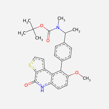 COc1ccc2[nH]c(=O)c3sccc3c2c1-c1ccc(C(C)N(C)C(=O)OC(C)(C)C)cc1